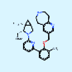 COC[C@H]1N(c2cccc(-c3cccc(C)c3OCc3cnc4c(c3)CCNCC4)n2)CC2C[C@@]21C(=O)O